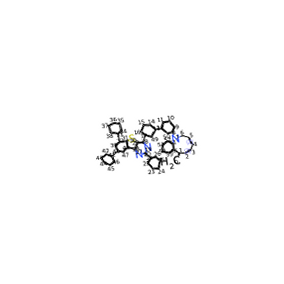 C=C1/C=C\C=C/CN(c2cccc(-c3cccc(-c4nc(-c5ccccc5)nc5c4sc4c(-c6ccccc6)cc(-c6ccccc6)cc45)c3)c2)c2ccccc21